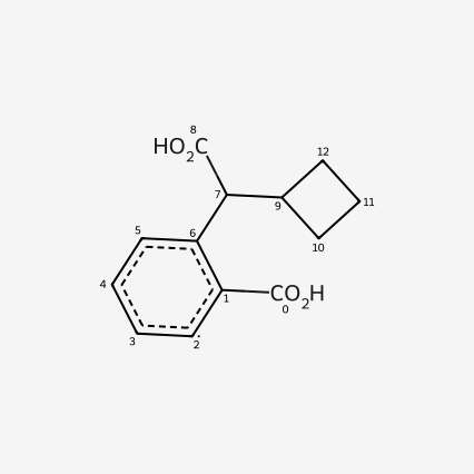 O=C(O)c1[c]cccc1C(C(=O)O)C1CCC1